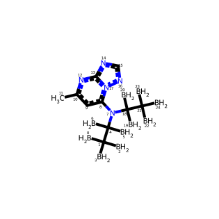 BC(B)(B)C(B)(B)N(c1cc(C)nc2ncnn12)C(B)(B)C(B)(B)B